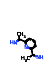 CC(=N)c1cccc(C(C)=N)n1